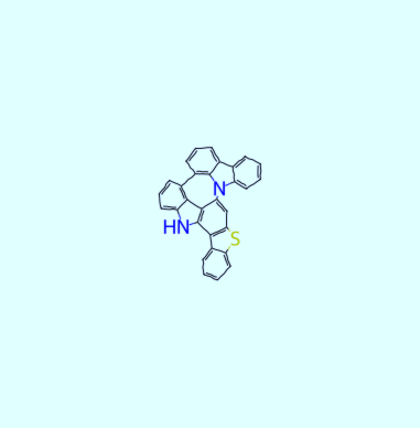 c1ccc2c(c1)sc1cc3c4c([nH]c5cccc(c6cccc7c8ccccc8n3c67)c54)c12